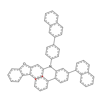 c1ccc(-c2ccc(-c3cccc4ccccc34)cc2N(c2ccc(-c3ccc4ccccc4c3)cc2)c2ccc3c(c2)oc2ccccc23)cc1